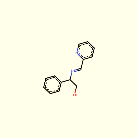 OCC(N=Cc1ccccn1)c1ccccc1